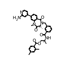 Cc1ccc(C(=O)OC[C@H](C)NC(=O)c2cccc(CN3C(=O)c4ccc(-c5ccnc(N)c5)cc4N(C)C(=O)[C@H]3C)c2)c(C)c1